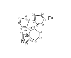 Fc1ccc(-c2ccccc2C2CCCCc3cncn32)cc1